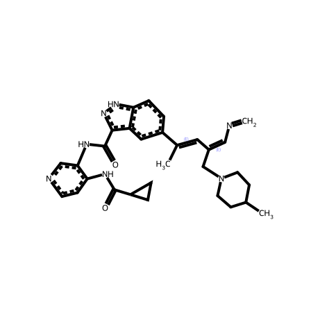 C=N/C=C(\C=C(/C)c1ccc2[nH]nc(C(=O)Nc3cnccc3NC(=O)C3CC3)c2c1)CN1CCC(C)CC1